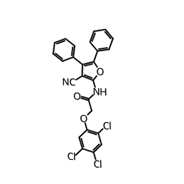 N#Cc1c(NC(=O)COc2cc(Cl)c(Cl)cc2Cl)oc(-c2ccccc2)c1-c1ccccc1